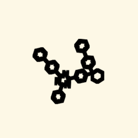 c1ccc(-c2ccc(-c3nc(-c4ccccc4)nc(-c4ccc(C5(c6ccc(-c7ccccc7)cc6)CCCCC5)cc4)n3)cc2)cc1